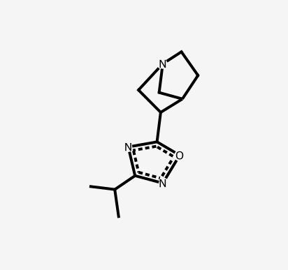 CC(C)c1noc(C2CN3CCC2C3)n1